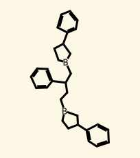 c1ccc(C2CCB(CCC(CB3CCC(c4ccccc4)C3)c3ccccc3)C2)cc1